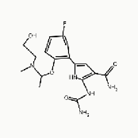 CC(Oc1ccc(F)cc1-c1cc(C(N)=O)c(NC(N)=O)[nH]1)N(C)CCO